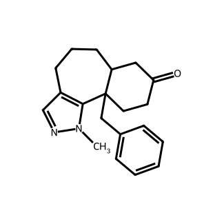 Cn1ncc2c1C1(Cc3ccccc3)CCC(=O)CC1CCC2